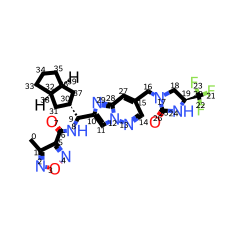 Cc1nonc1C(=O)NC(c1cn2ncc(CN3C[C@@H](C(F)(F)F)NC3=O)cc2n1)[C@@H]1C[C@H]2CCC[C@H]2C1